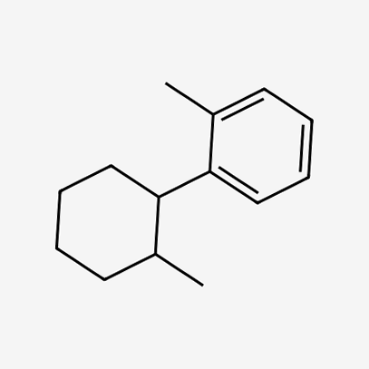 Cc1ccccc1C1CCCCC1C